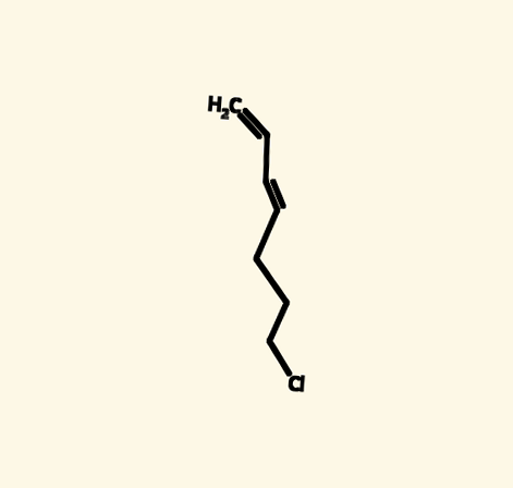 C=CC=CCCCCl